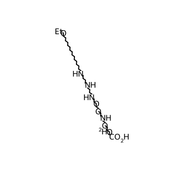 [2H]C(COCCNCCOCCOCCNCCCCNCCCCNCCCCCCCCCCCCCCCCOCC)OCC(=O)O